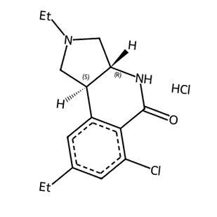 CCc1cc(Cl)c2c(c1)[C@H]1CN(CC)C[C@@H]1NC2=O.Cl